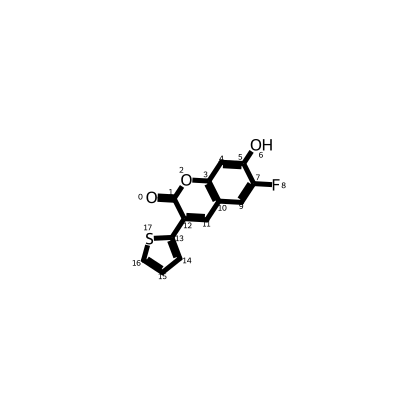 O=c1oc2cc(O)c(F)cc2cc1-c1cccs1